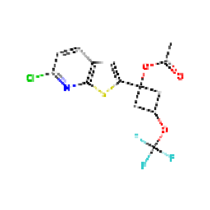 CC(=O)OC1(c2cc3ccc(Cl)nc3s2)CC(OC(F)(F)F)C1